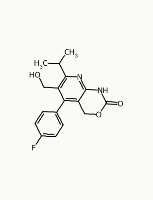 CC(C)c1nc2c(c(-c3ccc(F)cc3)c1CO)COC(=O)N2